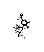 C[C@]1(c2cc([N+](=O)[O-])cc(F)c2F)N=C(N)S[C@H]2C[C@H]21